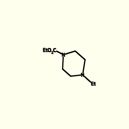 [CH2]CN1CCN(C(=O)OCC)CC1